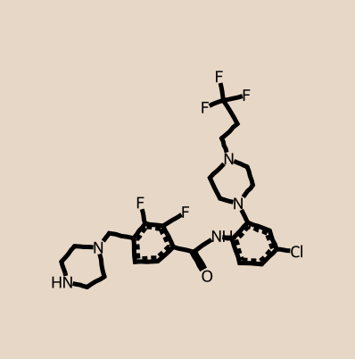 O=C(Nc1ccc(Cl)cc1N1CCN(CCC(F)(F)F)CC1)c1ccc(CN2CCNCC2)c(F)c1F